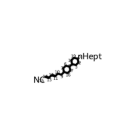 CCCCCCCC1CCC(C2CCC(CCC=CC=CC#N)CC2)CC1